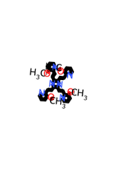 COc1cccnc1C=Cc1nc(C=Cc2ncccc2OC)c(C=Cc2ncccc2OC)nc1C=Cc1ncccc1OC